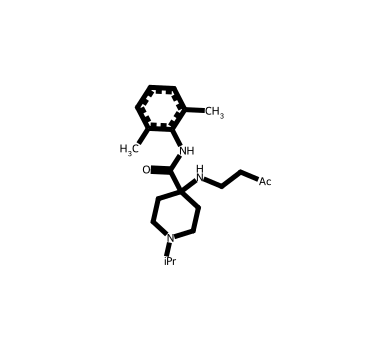 CC(=O)CCNC1(C(=O)Nc2c(C)cccc2C)CCN(C(C)C)CC1